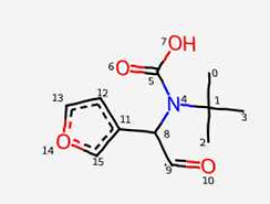 CC(C)(C)N(C(=O)O)C([C]=O)c1ccoc1